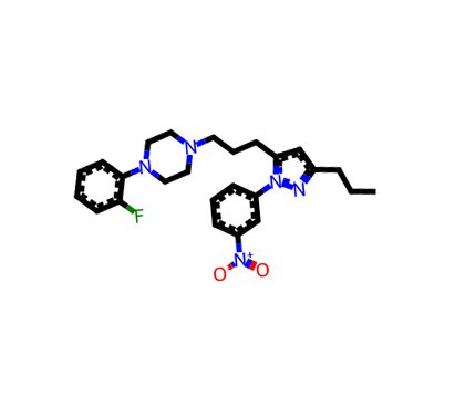 CCCc1cc(CCCN2CCN(c3ccccc3F)CC2)n(-c2cccc([N+](=O)[O-])c2)n1